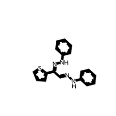 C(=NNc1ccccc1)C(=NNc1ccccc1)c1cccs1